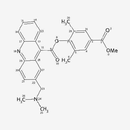 COC(=O)c1cc(C)c(OC(=O)c2c3ccccc3nc3ccc(CN(C)C)cc23)c(C)c1